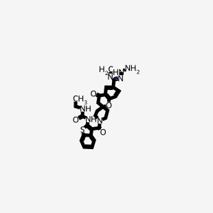 C=N/C(=N\NN)c1ccc2c(c1)C(=O)CC1(CCN(C(=O)c3c(NC(=O)NCC)sc4ccccc34)CC1)O2